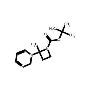 CC(C)(C)OC(=O)N1CCC1(C)N1C=CC=NC1